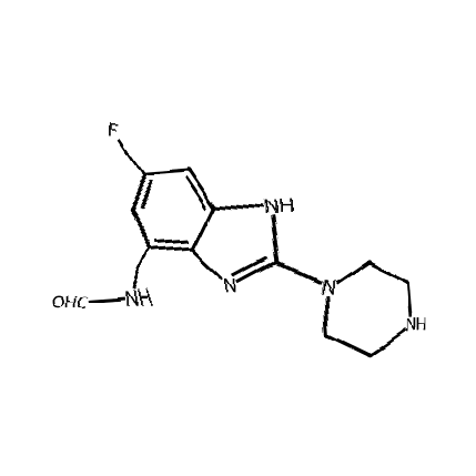 O=CNc1cc(F)cc2[nH]c(N3CCNCC3)nc12